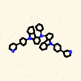 c1ccc(N(c2cccc3c2c2ccccc2n3-c2ccc(-c3cccnc3)cc2)c2cccc3c2c2ccccc2n3-c2ccc(-c3cccnc3)cc2)cc1